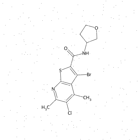 Cc1nc2sc(C(=O)NC3CCOC3)c(Br)c2c(C)c1Cl